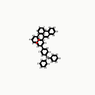 c1ccc(-c2cccc3c2c(-c2cccc(-c4ccc(N(c5ccccc5)c5ccccc5)cc4)c2)cc2ccccc23)cc1